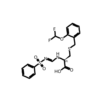 O=C(O)[C@H](CSCc1ccccc1OC(F)F)NC=NS(=O)(=O)c1ccccc1